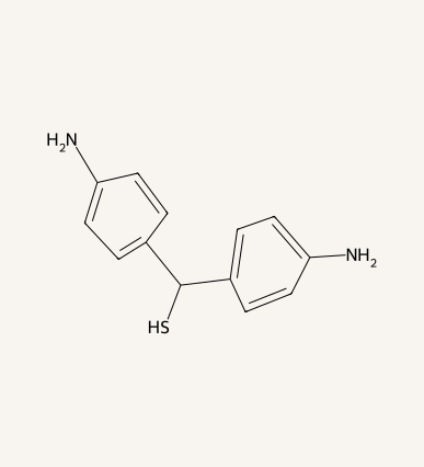 Nc1ccc(C(S)c2ccc(N)cc2)cc1